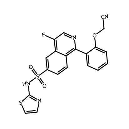 N#CCOc1ccccc1-c1ncc(F)c2cc(S(=O)(=O)Nc3nccs3)ccc12